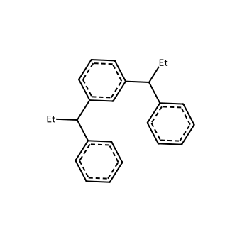 CCC(c1ccccc1)c1cccc(C(CC)c2ccccc2)c1